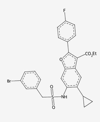 CCOC(=O)c1c(-c2ccc(F)cc2)oc2cc(NS(=O)(=O)Cc3cccc(Br)c3)c(C3CC3)cc12